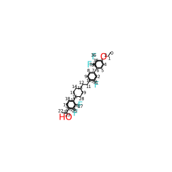 CCOc1ccc(-c2ccc(CCC3CCC(c4ccc(C(C)O)c(F)c4F)CC3)c(F)c2)c(F)c1F